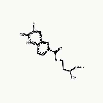 CCCC(CCCC(=O)c1ccc2[nH]c(=S)c(CC)cc2c1)OC